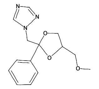 COCC1COC(Cn2cncn2)(c2ccccc2)O1